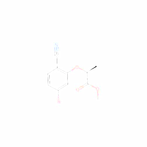 COC(=O)[C@H](C)Oc1cc(Br)ccc1C#N